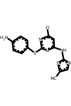 N#Cc1cnc(Nc2cc(Cl)nc(Sc3ccc(N)cc3)n2)s1